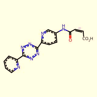 O=C(O)/C=C\C(=O)Nc1ccc(-c2nnc(-c3ccccn3)nn2)nc1